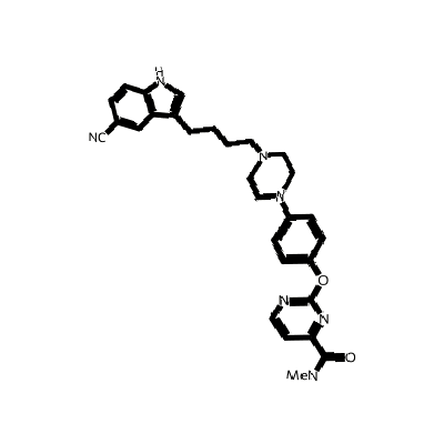 CNC(=O)c1ccnc(Oc2ccc(N3CCN(CCCCc4c[nH]c5ccc(C#N)cc45)CC3)cc2)n1